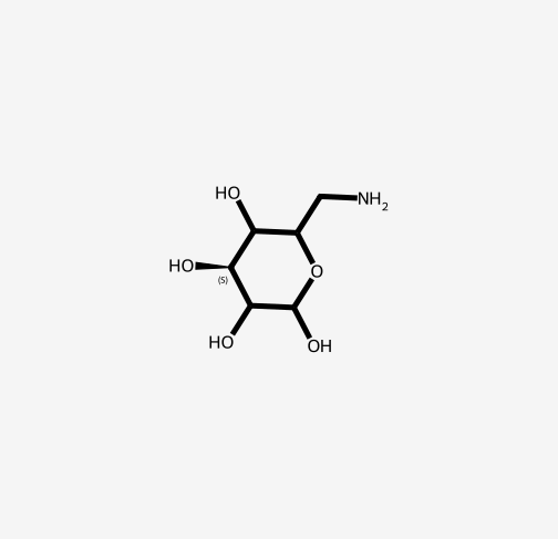 NCC1OC(O)C(O)[C@@H](O)C1O